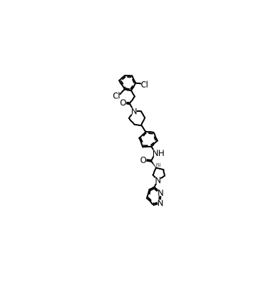 O=C(Nc1ccc(C2CCN(C(=O)Cc3c(Cl)cccc3Cl)CC2)cc1)[C@H]1CCN(c2cccnn2)C1